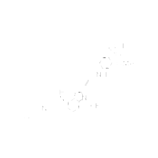 COc1cc(NCC#Cc2cc3c(NC4CCN(C5CCOCC5)CC4)cccc3n2CC(F)(F)F)ccc1S(C)(=O)=O